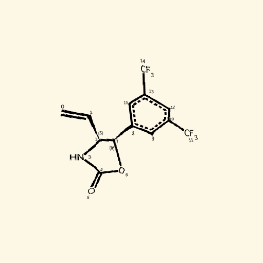 C=C[C@@H]1NC(=O)O[C@@H]1c1cc(C(F)(F)F)cc(C(F)(F)F)c1